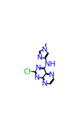 Cn1cnc(Nc2nc(Cl)nc3nccnc23)c1